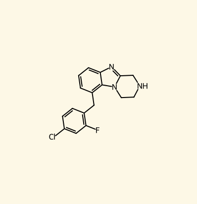 Fc1cc(Cl)ccc1Cc1cccc2nc3n(c12)CCNC3